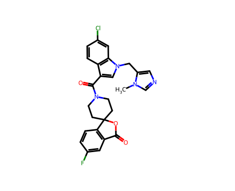 Cn1cncc1Cn1cc(C(=O)N2CCC3(CC2)OC(=O)c2cc(F)ccc23)c2ccc(Cl)cc21